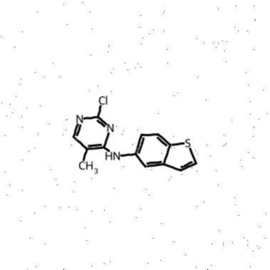 Cc1cnc(Cl)nc1Nc1ccc2sccc2c1